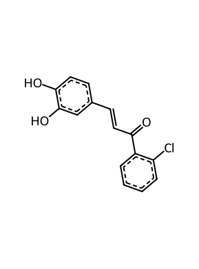 O=C(/C=C/c1ccc(O)c(O)c1)c1ccccc1Cl